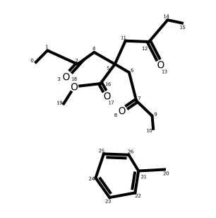 CCC(=O)CC(CC(=O)CC)(CC(=O)CC)C(=O)OC.Cc1ccccc1